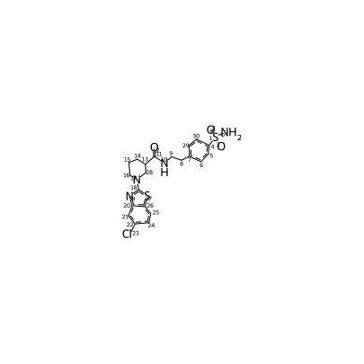 NS(=O)(=O)c1ccc(CCNC(=O)C2CCCN(c3nc4cc(Cl)ccc4s3)C2)cc1